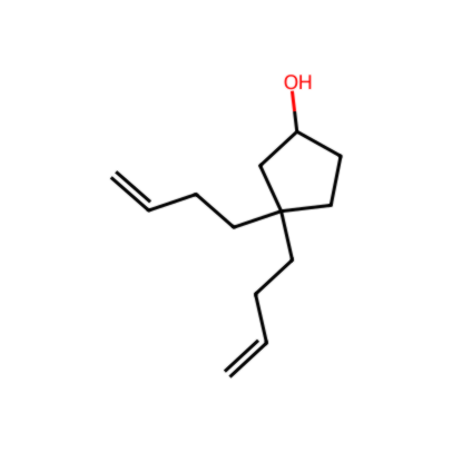 C=CCCC1(CCC=C)CCC(O)C1